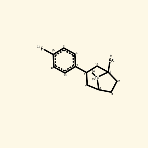 CC(=O)C12CCC(CC(c3ccc(F)cc3)C1)N2C